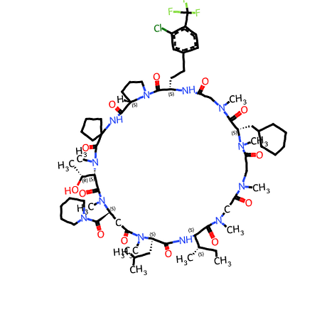 CC[C@H](C)[C@@H]1NC(=O)[C@H](CC(C)C)N(C)C(=O)C[C@@H](C(=O)N2CCCCC2)N(C)C(=O)[C@H]([C@@H](C)O)N(C)C(=O)C2(CCCC2)NC(=O)[C@@H]2CCCN2C(=O)[C@H](CCc2ccc(C(F)(F)F)c(Cl)c2)NC(=O)CN(C)C(=O)[C@H](CC2CCCCC2)N(C)C(=O)CN(C)C(=O)CN(C)C1=O